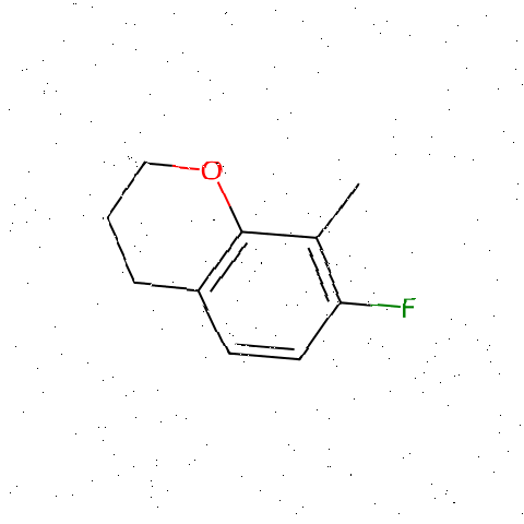 Cc1c(F)ccc2c1OCCC2